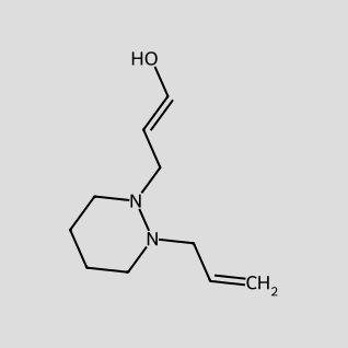 C=CCN1CCCCN1CC=CO